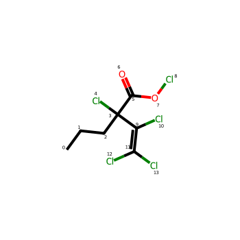 CCCC(Cl)(C(=O)OCl)C(Cl)=C(Cl)Cl